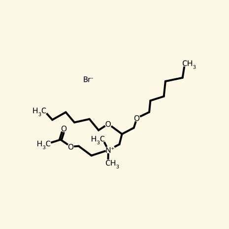 CCCCCCOCC(C[N+](C)(C)CCOC(C)=O)OCCCCCC.[Br-]